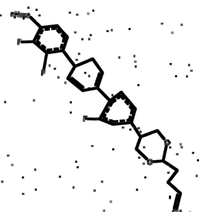 C=CCCC1OCC(c2ccc(C3=CCC(c4ccc(CCCCCCC)c(F)c4F)C=C3)c(F)c2)CO1